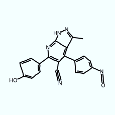 Cc1n[nH]c2nc(-c3ccc(O)cc3)c(C#N)c(-c3ccc(N=O)cc3)c12